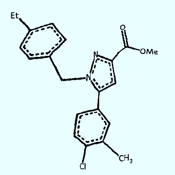 CCc1ccc(Cn2nc(C(=O)OC)cc2-c2ccc(Cl)c(C)c2)cc1